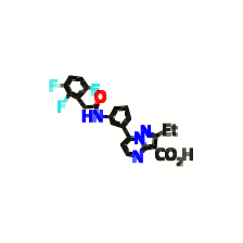 CCc1nn2c(-c3cccc(NC(=O)Cc4c(F)ccc(F)c4F)c3)ccnc2c1C(=O)O